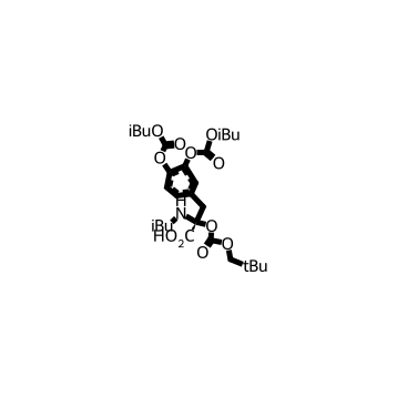 CCC(C)N[C@@](Cc1ccc(OC(=O)OCC(C)C)c(OC(=O)OCC(C)C)c1)(OC(=O)OCC(C)(C)C)C(=O)O